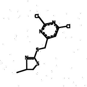 CC1CSC(SCc2cc(Cl)nc(Cl)n2)=N1